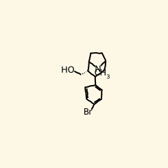 CN1C2CCC1[C@@H](CO)C(c1ccc(Br)cc1)C2